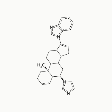 C[C@]12CCC=CC1[C@H](n1ccnc1)CC1C3CC=C(n4cnc5ccccc54)C3CCC12